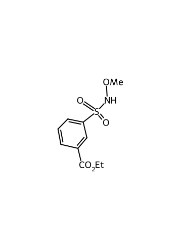 CCOC(=O)c1cccc(S(=O)(=O)NOC)c1